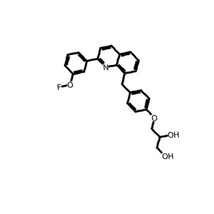 OCC(O)COc1ccc(Cc2cccc3ccc(-c4cccc(OF)c4)nc23)cc1